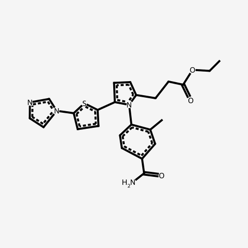 CCOC(=O)CCc1ccc(-c2ccc(-n3ccnc3)s2)n1-c1ccc(C(N)=O)cc1C